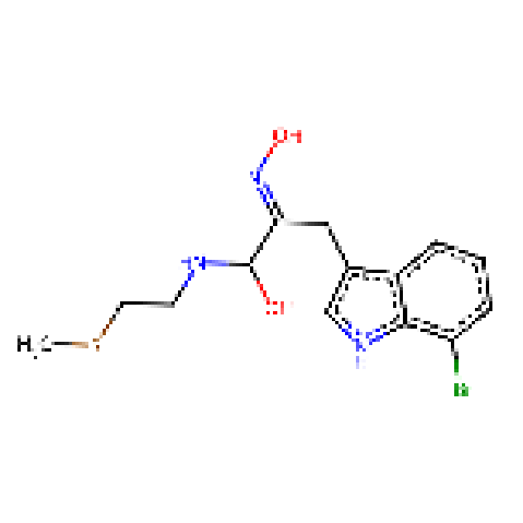 CSCCNC(O)/C(Cc1c[nH]c2c(Br)cccc12)=N/O